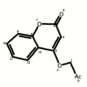 CC(=O)COc1cc(=O)oc2ccccc12